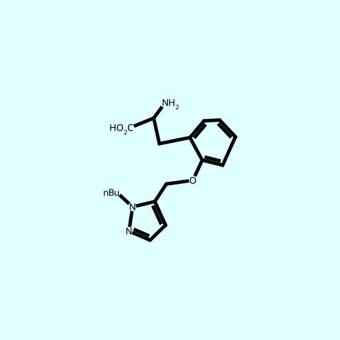 CCCCn1nccc1COc1ccccc1CC(N)C(=O)O